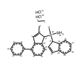 CC.CC1=Cc2c(-c3ccccc3)cccc2[CH]1[Zr]([CH3])([SiH3])[CH]1C=Cc2ccccc21.Cl.Cl